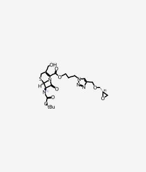 CC(C)(C)OC(=O)/N=C1\C(=O)N2C(C(=O)OCCCn3cc(COC[C@@H]4CO4)nn3)=C(CO)CS[C@H]12